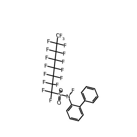 O=S(=O)(N(F)c1ccccc1-c1ccccc1)C(F)(F)C(F)(F)C(F)(F)C(F)(F)C(F)(F)C(F)(F)C(F)(F)C(F)(F)F